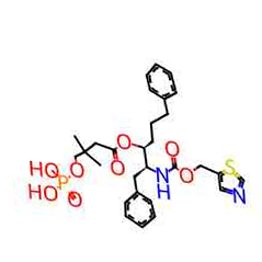 CC(C)(COP(=O)(O)O)CC(=O)O[C@@H](CCCc1ccccc1)[C@H](Cc1ccccc1)NC(=O)OCc1cncs1